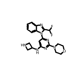 FC(F)c1nc2ccccc2n1-c1cc(NC2CNC2)nc(N2CCOCC2)n1